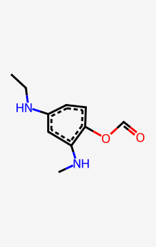 CCNc1ccc(OC=O)c(NC)c1